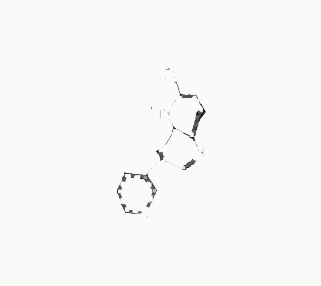 ClC1=CC=C2N=CC(c3cccnc3)=CC2N1